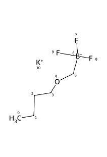 CCCCOC[B-](F)(F)F.[K+]